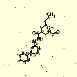 CCCCC[C@@H](CN(O)C=O)C(=O)NNc1nccc(-c2ccccn2)n1